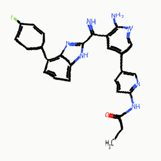 CCC(=O)Nc1ccc(-c2cnc(N)c(C(=N)c3nc4c(C5C=CC(F)=CC5)cccc4[nH]3)c2)cn1